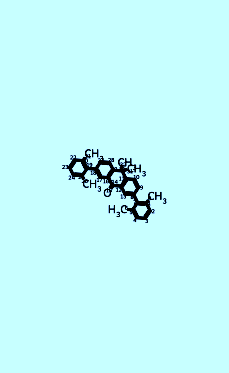 Cc1cccc(C)c1-c1ccc2c(c1)C(=O)c1cc(-c3c(C)cccc3C)ccc1C2(C)C